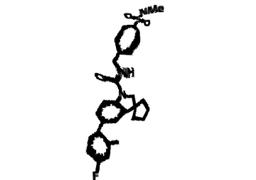 CNS(=O)(=O)c1ccc(CNC(=O)N2CC3(CCCC3)c3cc(-c4ccc(F)cc4C)ccc32)cc1